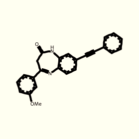 COc1cccc(C2=Nc3ccc(C#Cc4ccccc4)cc3NC(=O)C2)c1